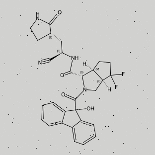 N#C[C@@H](C[C@@H]1CCNC1=O)NC(=O)[C@@H]1[C@H]2CCC(F)(F)[C@H]2CN1C(=O)C1(O)c2ccccc2-c2ccccc21